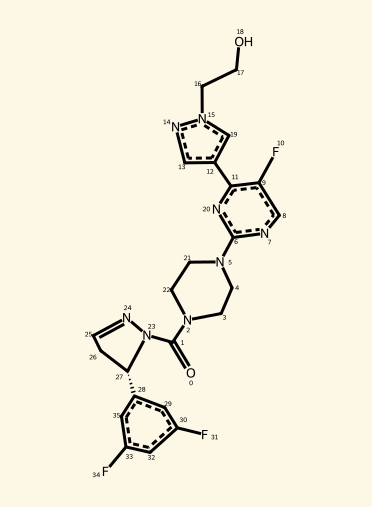 O=C(N1CCN(c2ncc(F)c(-c3cnn(CCO)c3)n2)CC1)N1N=CC[C@H]1c1cc(F)cc(F)c1